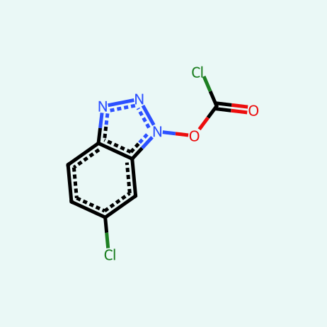 O=C(Cl)On1nnc2ccc(Cl)cc21